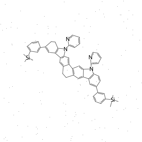 C[Si](C)(C)c1cccc(C2=Cc3c(n(-c4ccccn4)c4cc5c(cc34)CCc3cc4c6cc(-c7cccc([Si](C)(C)C)c7)ccc6n(-c6ccccn6)c4cc3-5)CC2)c1